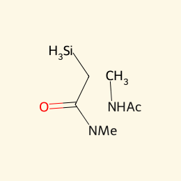 CNC(=O)C[SiH3].CNC(C)=O